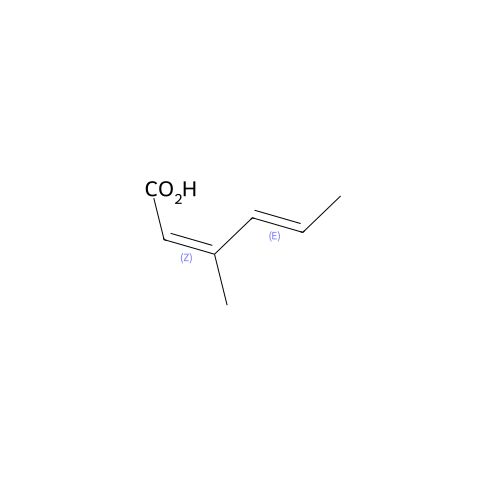 C/C=C/C(C)=C\C(=O)O